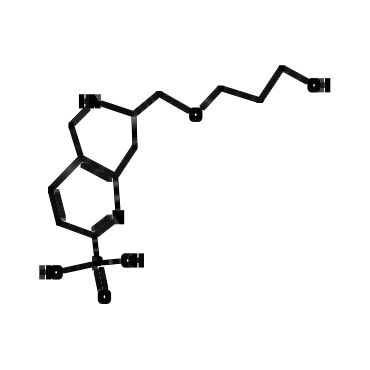 O=P(O)(O)c1ccc2c(n1)CC(COCCCO)NC2